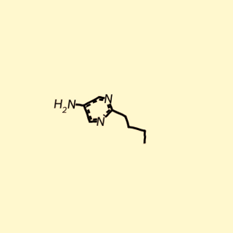 CCCCc1ncc(N)cn1